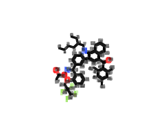 CCCCC(CC)Cn1c2ccc(/C(=N/OC(C)=O)c3ccccc3OCC(F)(F)C(F)F)cc2c2cc(C(=O)c3c(C)cc(C)cc3C)c3ccccc3c21